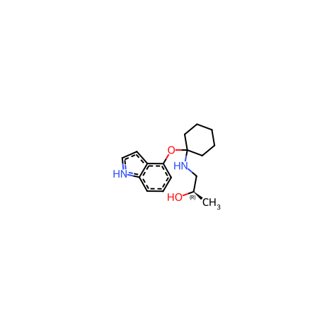 C[C@@H](O)CNC1(Oc2cccc3[nH]ccc23)CCCCC1